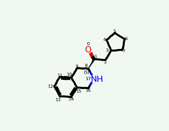 O=C(CC1CCCC1)[C@@H]1Cc2ccccc2CN1